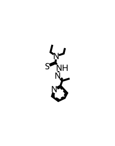 CCN(CC)C(=S)NN=C(C)c1ccccn1